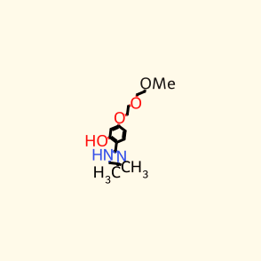 COCCOCCOc1ccc(C2=NC(C)(C)CN2)c(O)c1